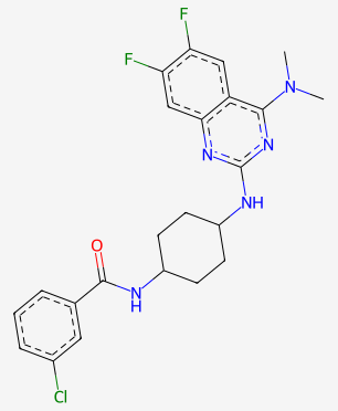 CN(C)c1nc(NC2CCC(NC(=O)c3cccc(Cl)c3)CC2)nc2cc(F)c(F)cc12